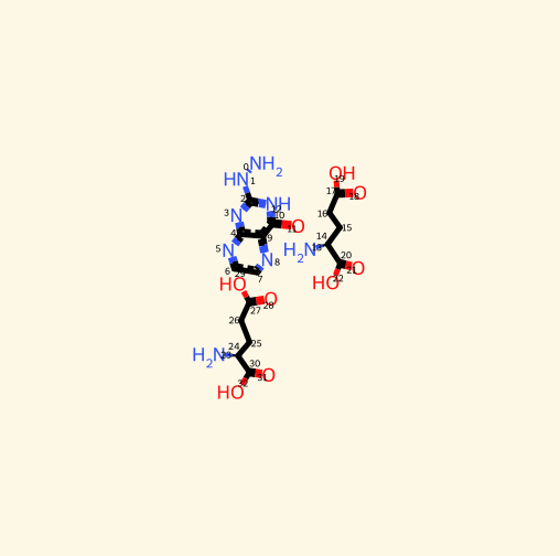 NNc1nc2nccnc2c(=O)[nH]1.N[C@@H](CCC(=O)O)C(=O)O.N[C@@H](CCC(=O)O)C(=O)O